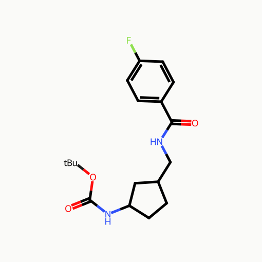 CC(C)(C)OC(=O)NC1CCC(CNC(=O)c2ccc(F)cc2)C1